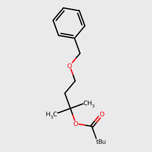 CC(C)(CCOCc1ccccc1)OC(=O)C(C)(C)C